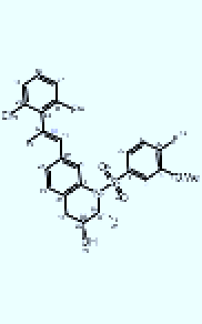 COc1cc(S(=O)(=O)N2c3cc(/C=C(\C)c4c(F)cccc4Cl)ccc3C[C@H](O)[C@H]2C)ccc1F